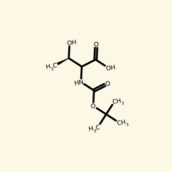 C[C@@H](O)C(NC(=O)OC(C)(C)C)C(=O)O